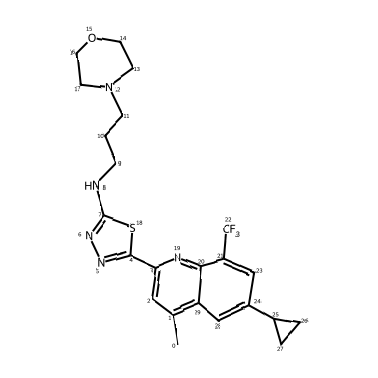 Cc1cc(-c2nnc(NCCCN3CCOCC3)s2)nc2c(C(F)(F)F)cc(C3CC3)cc12